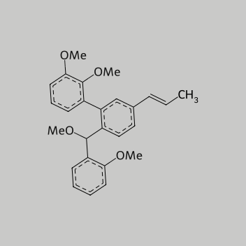 CC=Cc1ccc(C(OC)c2ccccc2OC)c(-c2cccc(OC)c2OC)c1